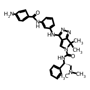 CN(C)C[C@@H](NC(=O)N1C=C2C(Nc3cccc(NC(=O)c4ccc(N)cc4)c3)=NN=C2C1(C)C)c1ccccc1